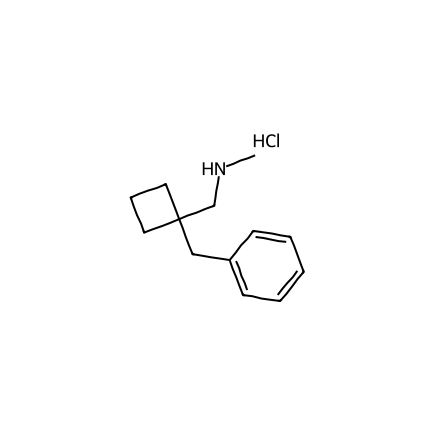 CNCC1(Cc2ccccc2)CCC1.Cl